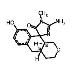 CN1C(=O)C2(N=C1N)c1cc(O)ccc1C[C@H]1CCOC[C@@H]12